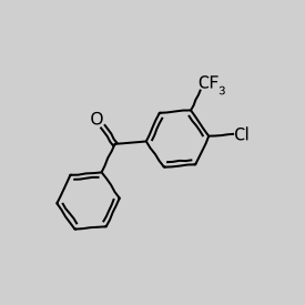 O=C(c1ccccc1)c1ccc(Cl)c(C(F)(F)F)c1